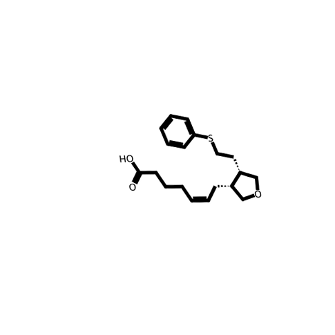 O=C(O)CCC/C=C\C[C@H]1COC[C@H]1CCSc1ccccc1